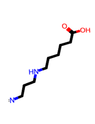 [N]CCCNCCCCCC(=O)O